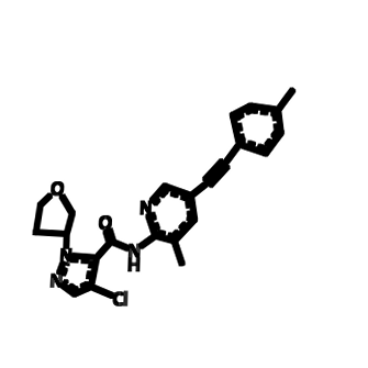 Cc1ccc(C#Cc2cnc(NC(=O)c3c(Cl)cnn3C3CCOC3)c(C)c2)cc1